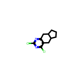 Clc1nc(Cl)c2c(n1)CC1CCCC1C2